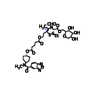 CCSS/C(CCOC(=O)CCCC(=O)O[C@H]1CC[C@H](N(C)C(=O)c2ccc3nonc3c2)CC1)=C(/C)N(C=O)CC(=O)OCC1OCC(O)C(O)C1O